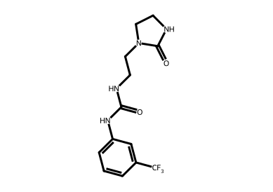 O=C(NCCN1CCNC1=O)Nc1cccc(C(F)(F)F)c1